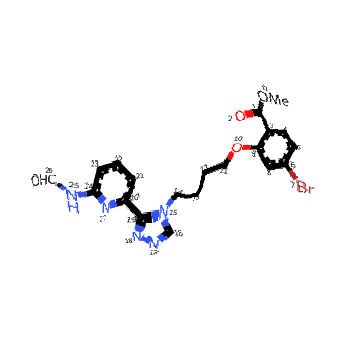 COC(=O)c1ccc(Br)cc1OCCCCn1cnnc1-c1cccc(NC=O)n1